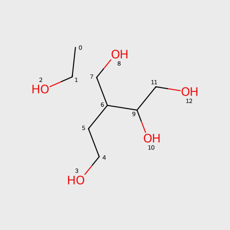 CCO.OCCC(CO)C(O)CO